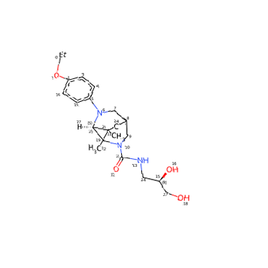 CCOc1ccc(N2CC3CN(C(=O)NC[C@@H](O)CO)C[C@@H]2C(C)(C)C3)cc1